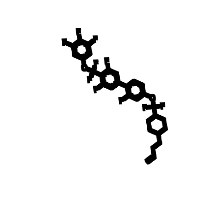 C=CCCC1CCC(C(F)(F)Oc2ccc(-c3cc(F)c(C(F)(F)Oc4cc(F)c(F)c(F)c4)c(F)c3)c(F)c2)CC1